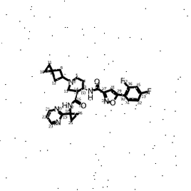 O=C(N[C@H]1CCN(C2CC3(CC3)C2)C[C@@H]1C(=O)NC1(c2ncccn2)CC1)c1cc(-c2ccc(F)cc2F)on1